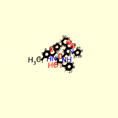 CCc1ccc2c(c1)C(NC[C@@H](O)[C@H](Cc1ccccc1)NC(=O)c1cc(C3CCCCO3)c(=O)n(C3CCCC3)c1)CC1(CCCC1)O2